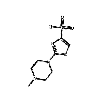 CN1CCN(c2nc(S(=O)(=O)Cl)cs2)CC1